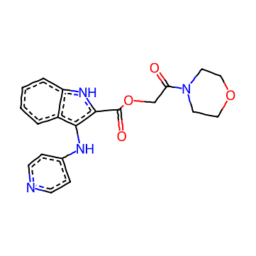 O=C(OCC(=O)N1CCOCC1)c1[nH]c2ccccc2c1Nc1ccncc1